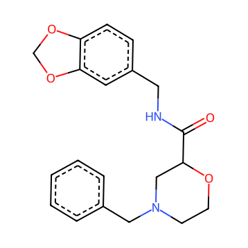 O=C(NCc1ccc2c(c1)OCO2)C1CN(Cc2ccccc2)CCO1